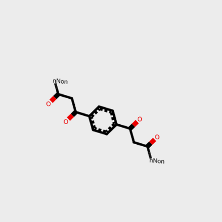 CCCCCCCCCC(=O)CC(=O)c1ccc(C(=O)CC(=O)CCCCCCCCC)cc1